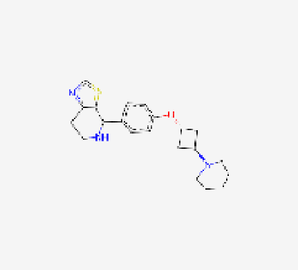 c1nc2c(s1)C(c1ccc(O[C@H]3C[C@H](N4CCCCC4)C3)cc1)NCC2